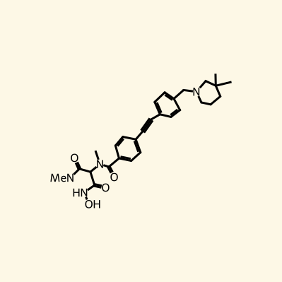 CNC(=O)C(C(=O)NO)N(C)C(=O)c1ccc(C#Cc2ccc(CN3CCCC(C)(C)C3)cc2)cc1